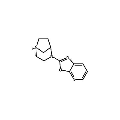 c1cnc2oc(N3CC[N@]4CCC3C4)nc2c1